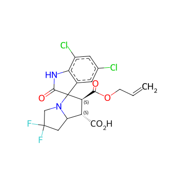 C=CCOC(=O)[C@H]1[C@H](C(=O)O)C2CC(F)(F)CN2C12C(=O)Nc1c(Cl)cc(Cl)cc12